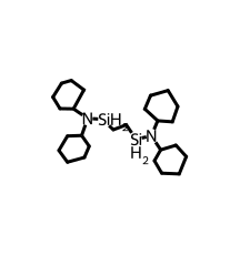 C1CCC(N([SiH2]CC[SiH2]N(C2CCCCC2)C2CCCCC2)C2CCCCC2)CC1